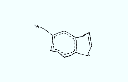 CC(C)c1ccc2c(c1)C=C[CH]2